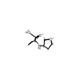 CC(NC1CCOC1)C(=O)O